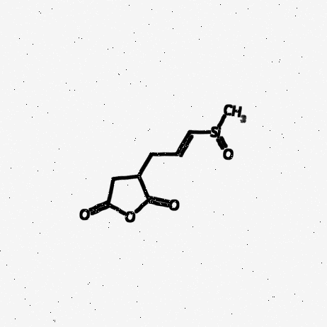 C[Si](=O)/C=C/CC1CC(=O)OC1=O